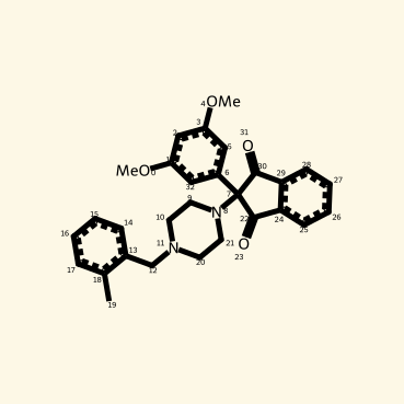 COc1cc(OC)cc(C2(N3CCN(Cc4ccccc4C)CC3)C(=O)c3ccccc3C2=O)c1